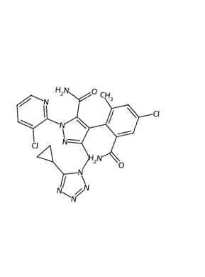 Cc1cc(Cl)cc(C(N)=O)c1-c1c(Cn2nnnc2C2CC2)nn(-c2ncccc2Cl)c1C(N)=O